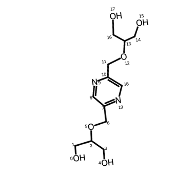 OCC(CO)OCc1cnc(COC(CO)CO)cn1